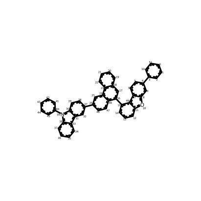 c1ccc(-c2ccc3c(c2)oc2cccc(-c4cc5ccccc5c5cc(-c6ccc7c(c6)c6ccccc6n7-c6ccccc6)ccc45)c23)cc1